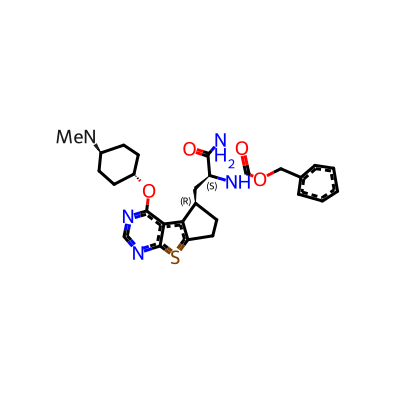 CN[C@H]1CC[C@H](Oc2ncnc3sc4c(c23)[C@@H](C[C@H](NC(=O)OCc2ccccc2)C(N)=O)CC4)CC1